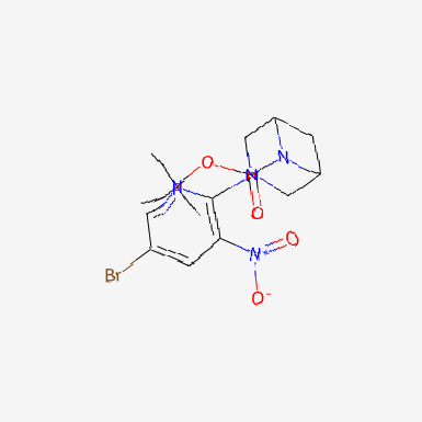 CC(C)(C)OC(=O)N1C2CC1CN(c1ncc(Br)cc1[N+](=O)[O-])C2